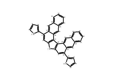 c1csc(-c2cc3sc4cc(-c5cccs5)c5cc6ccccc6cc5c4c3c3cc4ccccc4cc23)c1